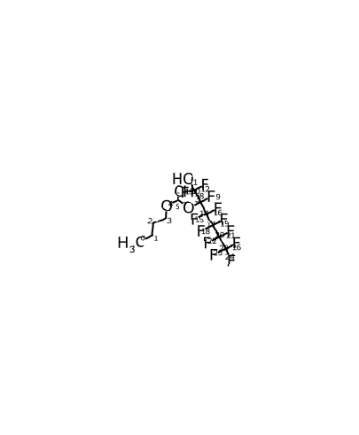 CCCCOC(C)OC(F)(C(O)(F)F)C(F)(F)C(F)(F)C(F)(F)C(F)(F)F